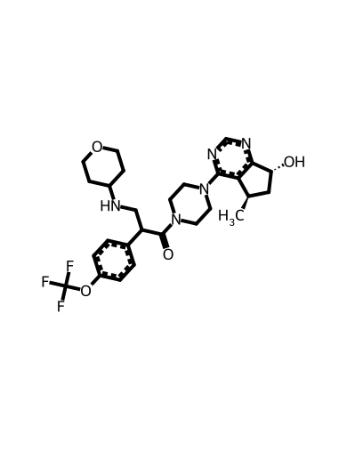 C[C@@H]1C[C@@H](O)c2ncnc(N3CCN(C(=O)C(CNC4CCOCC4)c4ccc(OC(F)(F)F)cc4)CC3)c21